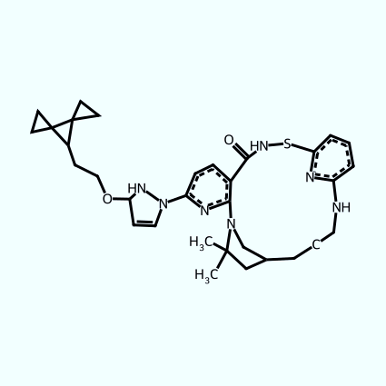 CC1(C)CC2CCCNc3cccc(n3)SNC(=O)c3ccc(N4C=CC(OCCC5C6(CC6)C56CC6)N4)nc3N1C2